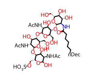 CCCCCCCCCCCCCCCC(=O)N[C@H]1[C@H](O[C@H]2C(O)[C@@H](NC(C)=O)[C@H](O[C@H]3[C@H](O)[C@@H](NC(C)=O)[C@H](O[C@H]4C(O)[C@@H](NC(C)=O)C(O)O[C@@H]4COS(=O)(=O)O)O[C@@H]3CO)O[C@@H]2CO)O[C@H](CO)[C@@H](O)[C@@H]1O